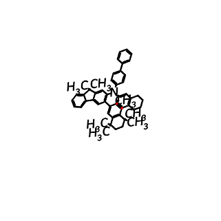 Cc1cc2c(cc1-c1cc3c(cc1N(c1ccc(-c4ccccc4)cc1)c1ccc4c(c1)CCCC4)C(C)(C)c1ccccc1-3)C(C)(C)CCC2(C)C